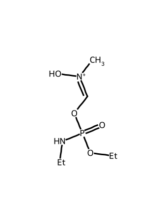 CCNP(=O)(OC=[N+](C)O)OCC